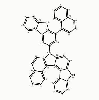 c1ccc2c(-c3nc(-n4c5ccc6ccccc6c5c5c6c(ccc54)[nH]c4ccccc46)nc4c3sc3ccccc34)cccc2c1